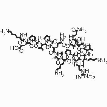 CC(C)[C@H](NC(=O)[C@H](CCCCN)NC(=O)[C@H](CCCNC(=N)N)NC(=O)[C@@H]1CCCN1C(=O)[C@@H](CCCCN)NC(=O)[C@H](C)NC(=O)[C@H](CCC(N)=O)NC(=O)[C@@H]1CCCN1C(=O)[C@@H](NC(=O)[C@@H]1CCCN1C(=O)[C@H](CCC(=O)O)NC(=O)[C@@H](N)CCCCN)C(C)C)C(=O)N[C@@H](C)C(=O)N[C@@H](C)C(=O)N[C@@H](CCC(N)=O)C(=O)O